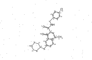 Cn1cc(C(=O)NCc2ccc(Cl)cc2)c(=O)c2cc(CC3CCOCC3)ccc21